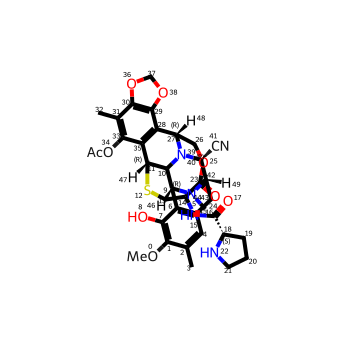 COc1c(C)cc2c(c1O)[C@@H]1C3[C@@H]4SCC(NC(=O)[C@@H]5CCCN5)C(=O)OC[C@@H](c5c6c(c(C)c(OC(C)=O)c54)OCO6)N3[C@@H](C#N)[C@H](C2)N1C